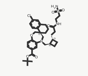 CC(C)(C)OC(=O)c1ccc2c(c1)N(C[C@@H]1CC[C@H]1CCC(=O)NCCS(N)(=O)=O)C[C@@]1(CCCc3cc(Cl)ccc31)CO2